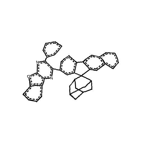 c1ccc(-c2nc3oc4ccccc4c3nc2-c2ccc3c(c2)C2(c4cc5ccccc5cc4-3)C3CC4CC(C3)CC2C4)cc1